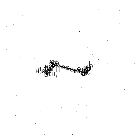 CC[C@@H]1C(=O)N(C)c2cnc(Nc3ccc(C(=O)NCCCOCCOCCOCCCNC(=O)COc4cccc5c4C(=O)N(C4CCC(=O)NC4=O)C5=O)cc3OC)nc2N1C